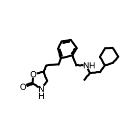 CC(CC1CCCCC1)NCc1ccccc1CCC1CNC(=O)O1